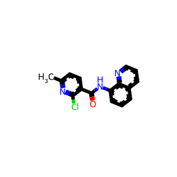 Cc1ccc(C(=O)Nc2cccc3cccnc23)c(Cl)n1